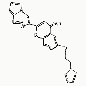 N=c1cc(-c2cn3cccc3cn2)oc2ccc(OCCn3ccnc3)cc12